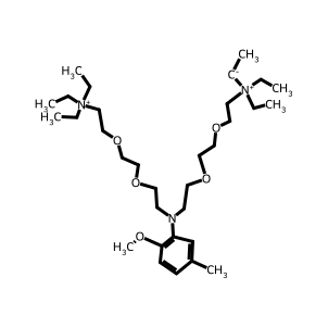 C[CH-][N+](CC)(CC)CCOCCOCCN(CCOCCOCC[N+](CC)(CC)CC)c1cc(C)ccc1OC